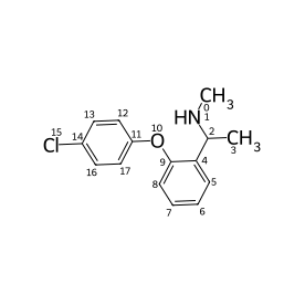 CNC(C)c1ccccc1Oc1ccc(Cl)cc1